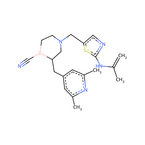 C=C(C)Nc1ncc(CN2CCB(C#N)C(Cc3cc(C)nc(C)c3)C2)s1